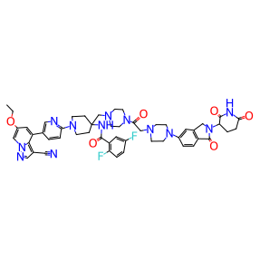 CCOc1cc(-c2ccc(N3CCC(CN4CCN(C(=O)CN5CCN(c6ccc7c(c6)CN(C6CCC(=O)NC6=O)C7=O)CC5)CC4)(NC(=O)c4cc(F)ccc4F)CC3)nc2)c2c(C#N)cnn2c1